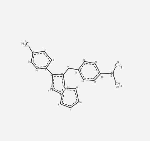 Cc1ccc(-c2nc3ccccn3c2Cc2ccc(N(C)C)cc2)cc1